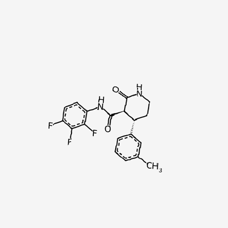 Cc1cccc([C@H]2CCNC(=O)[C@@H]2C(=O)Nc2ccc(F)c(F)c2F)c1